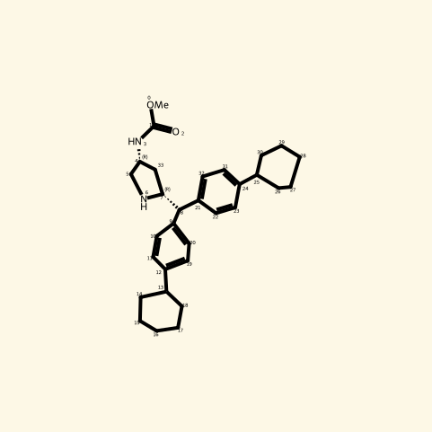 COC(=O)N[C@H]1CN[C@@H](C(c2ccc(C3CCCCC3)cc2)c2ccc(C3CCCCC3)cc2)C1